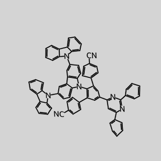 N#Cc1ccc(-c2cc(-c3cc(-c4ccccc4)nc(-c4ccccc4)n3)cc(-c3ccc(C#N)cc3)c2-n2c3ccc(-n4c5ccccc5c5ccccc54)cc3c3cc(-n4c5ccccc5c5ccccc54)ccc32)cc1